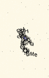 COc1ccc(Oc2ccc(/N=c3\[nH]c(=O)n(CC(CO)CO)c(=O)n3Cc3ccc(Cl)cc3)cc2)cn1